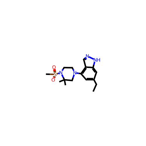 CCc1cc(N2CCN(S(C)(=O)=O)C(C)(C)C2)c2cn[nH]c2c1